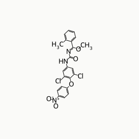 COC(=NC(=O)Nc1cc(Cl)c(Oc2ccc([N+](=O)[O-])cc2)c(Cl)c1)c1ccccc1C